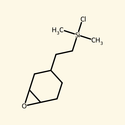 C[Si](C)(Cl)CCC1CCC2OC2C1